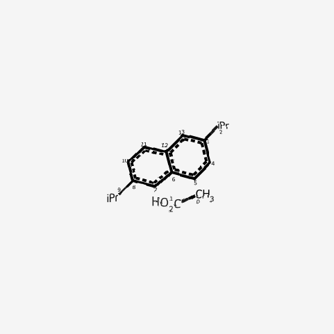 CC(=O)O.CC(C)c1ccc2cc(C(C)C)ccc2c1